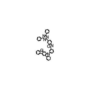 C1=Cc2c(n(-c3cccc(-c4nc5ccc(-c6nc(-c7ccccc7)nc(-c7ccccc7)n6)cc5o4)c3)c3cc4oc5ccccc5c4cc23)CC1